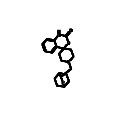 O=C1Nc2ccccc2C2(CCN(CC3CC4CCC3CC4)CC2)O1